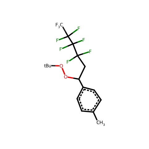 Cc1ccc(C(CC(F)(F)C(F)(F)C(F)(F)C(F)(F)F)OOC(C)(C)C)cc1